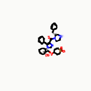 O=C(c1ncn([C@H]2CCCC[C@]2(O)COC2CCS(=O)(=O)CC2)c1-c1ccccc1)N1CCNC[C@H]1Cc1ccccc1